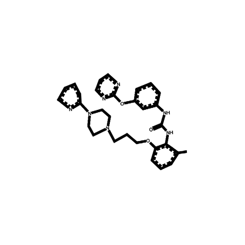 Cc1cccc(OCCCN2CCN(c3ccccn3)CC2)c1NC(=O)Nc1cccc(Oc2ncccn2)c1